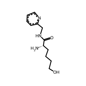 N[C@@H](CCCCO)C(=O)NCc1ccccn1